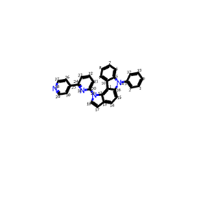 c1ccc(-n2c3ccccc3c3c4c(ccc32)ccn4-c2cccc(-c3ccncc3)n2)cc1